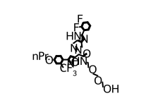 CCCOc1ccc(-c2cc(C(C(=O)NCCOCCOCCO)N3Cc4nc(-c5cccc(F)c5F)[nH]c4C=N3)on2)c(C(F)(F)F)c1